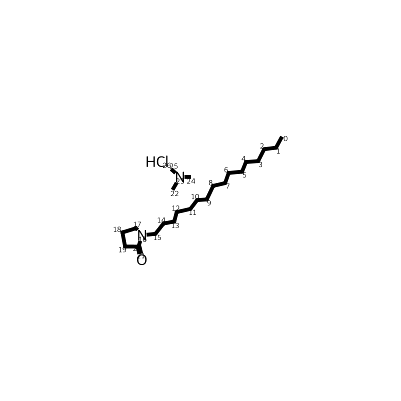 CCCCCCCCCCCCCCCCN1CCCC1=O.CN(C)C.Cl